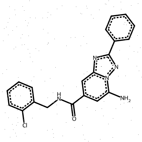 Nc1cc(C(=O)NCc2ccccc2Cl)cc2nc(-c3ccccc3)nn12